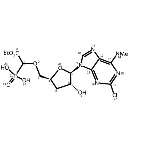 CCOC(=O)C(OC[C@@H]1C[C@@H](O)[C@H](n2cnc3c(NC)nc(Cl)nc32)O1)P(=O)(O)O